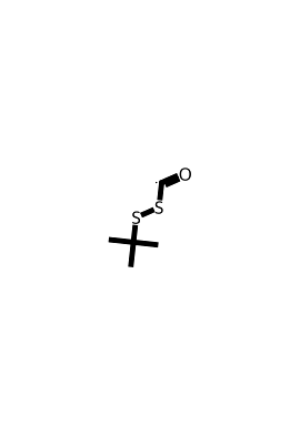 CC(C)(C)SS[C]=O